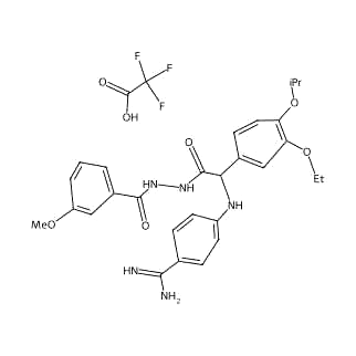 CCOc1cc(C(Nc2ccc(C(=N)N)cc2)C(=O)NNC(=O)c2cccc(OC)c2)ccc1OC(C)C.O=C(O)C(F)(F)F